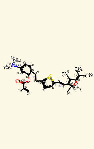 [C-]#[N+]C1=C(/C=C/c2ccc(/C=C/c3ccc(N(CCCC)CCCC)cc3OC(=O)C(=C)C)s2)C(C)(C(F)(F)F)OC1=C(C#N)C#N